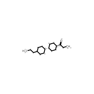 CCCC1CCC([C@H]2CC[C@H](C(=O)CC)CC2)CC1